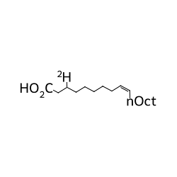 [2H]C(CCCCC/C=C\CCCCCCCC)CC(=O)O